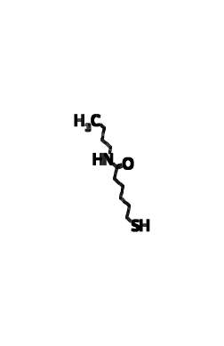 CCCCNC(=O)CCCCCS